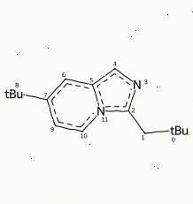 CC(C)(C)Cc1ncc2cc(C(C)(C)C)ccn12